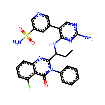 CCC(Nc1nc(N)ncc1-c1cncc(S(N)(=O)=O)c1)c1nc2cccc(F)c2c(=O)n1-c1ccccc1